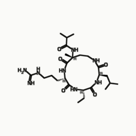 CC[C@@H]1NC(=O)[C@H](CCCNC(=N)N)NC(=O)[C@](C)(NC(=O)C(C)C)CCNC(=O)[C@@H](CC(C)C)NC1=O